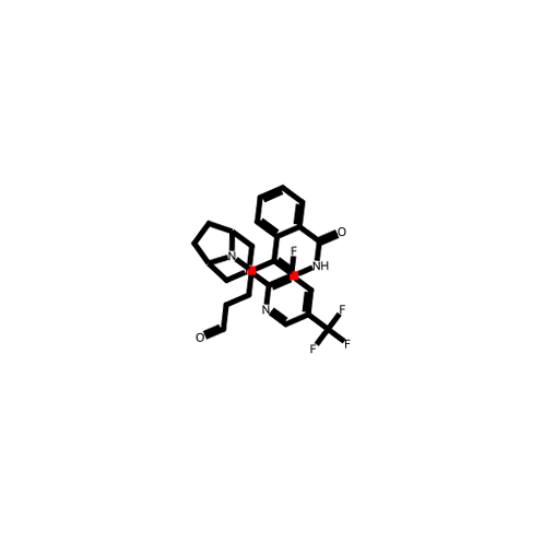 O=CCCC(c1n[nH]c(=O)c2ccccc12)N1C2CCC1CN(c1ncc(C(F)(F)F)cc1F)C2